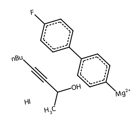 CCCCC#CC(C)O.Fc1ccc(-c2cc[c]([Mg+2])cc2)cc1.I